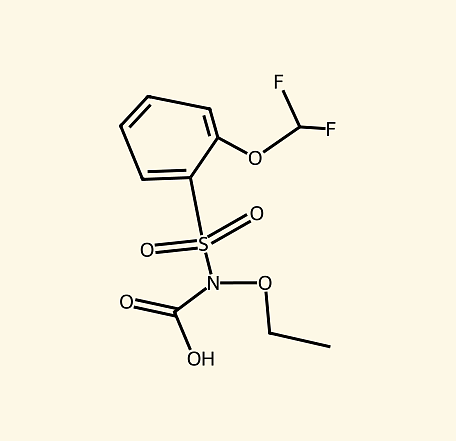 CCON(C(=O)O)S(=O)(=O)c1ccccc1OC(F)F